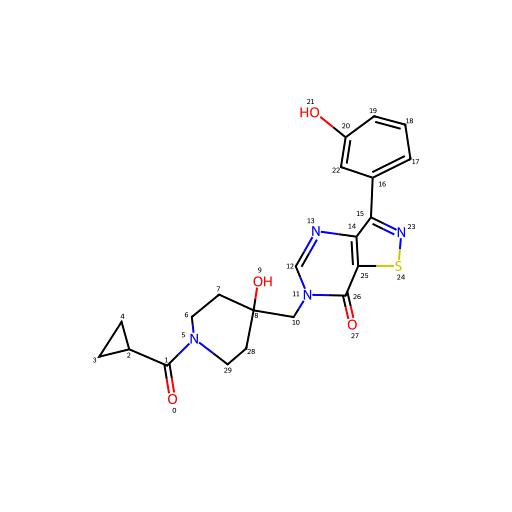 O=C(C1CC1)N1CCC(O)(Cn2cnc3c(-c4cccc(O)c4)nsc3c2=O)CC1